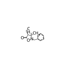 CCC1C(=O)ON(Cc2ccccc2)C1C